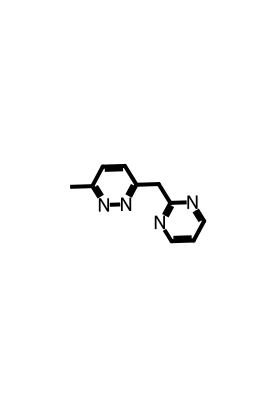 Cc1ccc(Cc2ncccn2)nn1